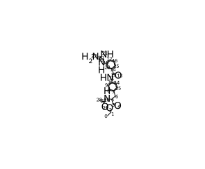 CCOC(=O)C(Cc1ccc(NC(=O)c2cccc(NC(=N)N)c2)cc1)NC(C)=O